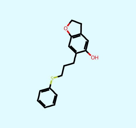 Oc1cc2c(cc1CCCSc1ccccc1)OCC2